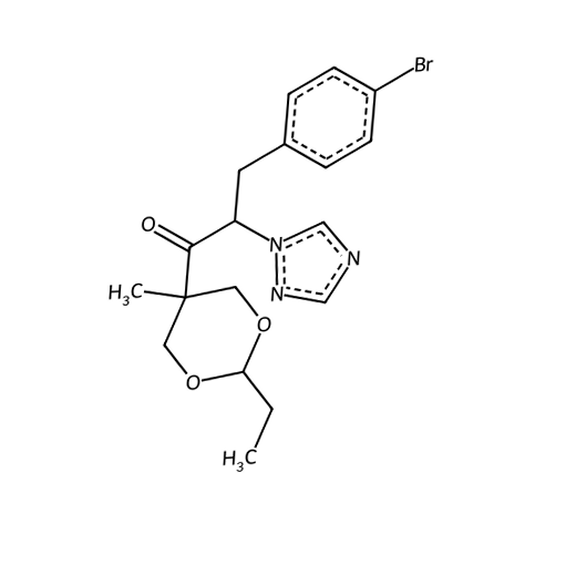 CCC1OCC(C)(C(=O)C(Cc2ccc(Br)cc2)n2cncn2)CO1